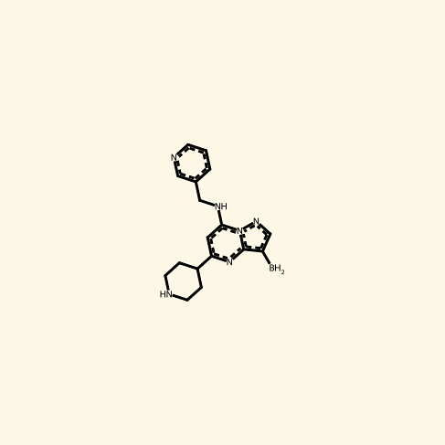 Bc1cnn2c(NCc3cccnc3)cc(C3CCNCC3)nc12